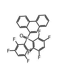 O=P(c1c(F)c(F)cc(F)c1F)(c1c(F)c(F)cc(F)c1F)c1cc2ccccc2c2ccccc12